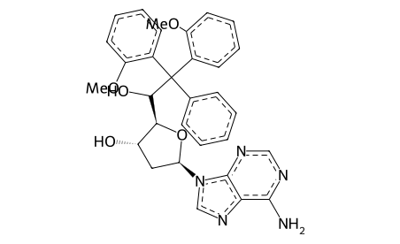 COc1ccccc1C(c1ccccc1)(c1ccccc1OC)C(O)[C@H]1O[C@@H](n2cnc3c(N)ncnc32)C[C@@H]1O